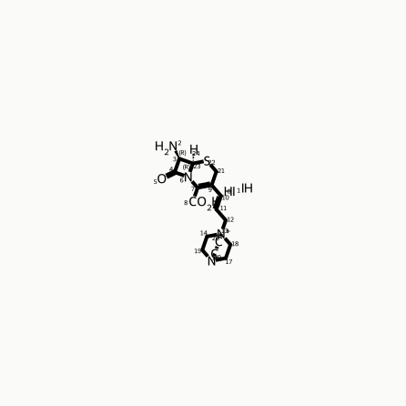 I.I.N[C@@H]1C(=O)N2C(C(=O)O)=C(C=CC[N+]34CCN(CC3)CC4)CS[C@H]12